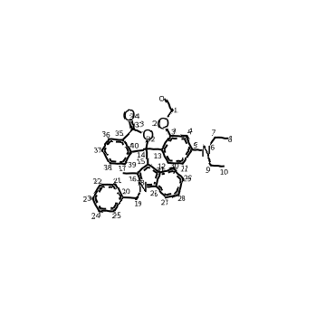 CCOc1cc(N(CC)CC)ccc1C1(c2c(C)n(Cc3ccccc3)c3ccccc23)OC(=O)c2ccccc21